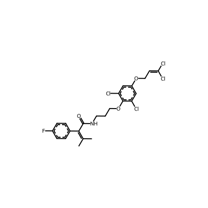 CC(C)=C(C(=O)NCCCOc1c(Cl)cc(OCC=C(Cl)Cl)cc1Cl)c1ccc(F)cc1